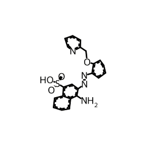 Nc1c(/N=N/c2ccccc2OCc2ccccn2)cc(S(=O)(=O)O)c2ccccc12